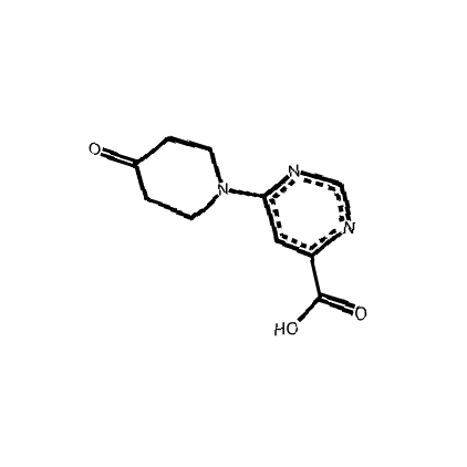 O=C1CCN(c2cc(C(=O)O)ncn2)CC1